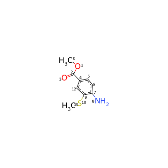 COC(=O)c1ccc(N)c(SC)c1